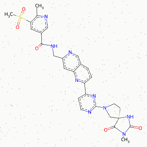 Cc1ncc(C(=O)NCc2cc3nc(-c4ccnc(N5CC[C@]6(C5)NC(=O)N(C)C6=O)n4)ccc3cn2)cc1S(C)(=O)=O